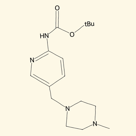 CN1CCN(Cc2ccc(NC(=O)OC(C)(C)C)nc2)CC1